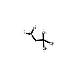 CCN(O)CC(O)(O)O